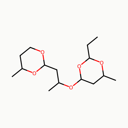 CCC1OC(C)CC(OC(C)CC2OCCC(C)O2)O1